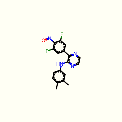 Cc1ccc(Nc2nccnc2-c2cc(F)c(N=O)c(F)c2)cc1C